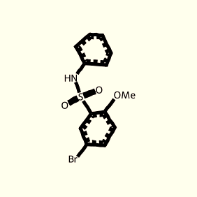 COc1ccc(Br)cc1S(=O)(=O)Nc1ccccc1